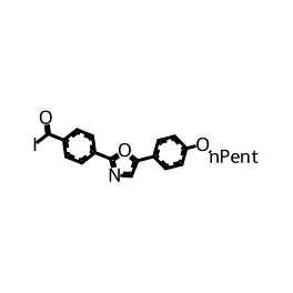 CCCCCOc1ccc(-c2cnc(-c3ccc(C(=O)I)cc3)o2)cc1